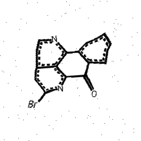 O=C1c2ccccc2-c2nccc3cc(Br)nc1c23